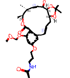 COCOc1cc(OCCCNC(C)=O)cc2c1C(=O)O[C@@H](C)[C@H](C)/C=C\C(=O)[C@H]1OC(C)(C)O[C@H]1C/C=C/2